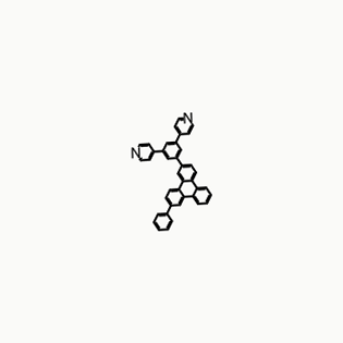 c1ccc(-c2ccc3c(c2)c2ccccc2c2ccc(-c4cc(-c5ccncc5)cc(-c5ccncc5)c4)cc23)cc1